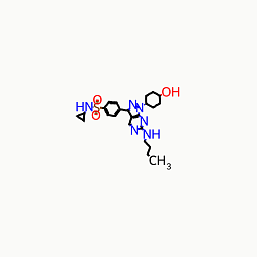 CCCCNc1ncc2c(-c3ccc(S(=O)(=O)NC4CC4)cc3)nn([C@H]3CC[C@H](O)CC3)c2n1